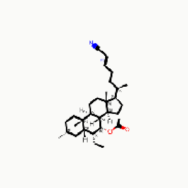 CC[C@H]1[C@@H](OC(C)=O)[C@@H]2[C@H](CC[C@]3(C)[C@@H]([C@H](C)CC/C=C/C#N)CC[C@@H]23)[C@@]2(C)CC[C@@H](C)C[C@@H]12